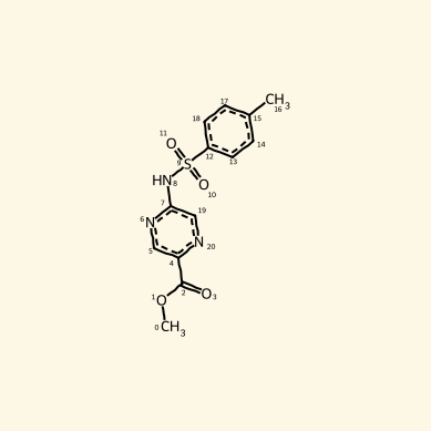 COC(=O)c1cnc(NS(=O)(=O)c2ccc(C)cc2)cn1